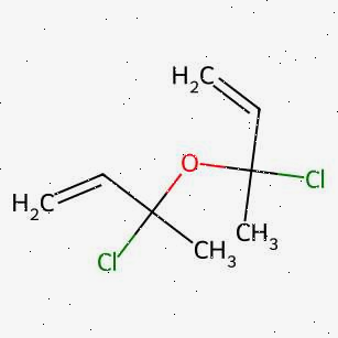 C=CC(C)(Cl)OC(C)(Cl)C=C